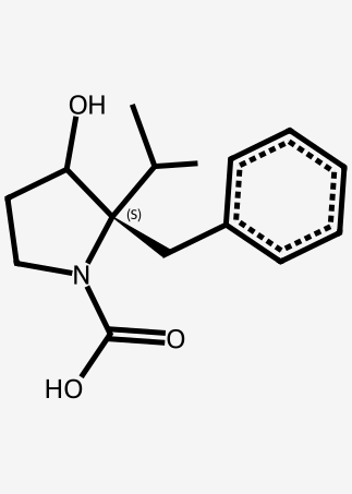 CC(C)[C@@]1(Cc2ccccc2)C(O)CCN1C(=O)O